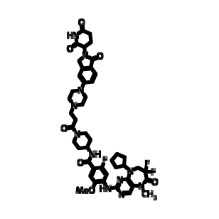 COc1cc(C(=O)NC2CCN(C(=O)CCN3CCN(c4ccc5c(c4)CN(C4CCC(=O)NC4=O)C5=O)CC3)CC2)c(F)cc1Nc1ncc2c(n1)N(C1CCCC1)CC(F)(F)C(=O)N2C